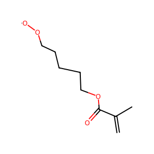 C=C(C)C(=O)OCCCCCO[O]